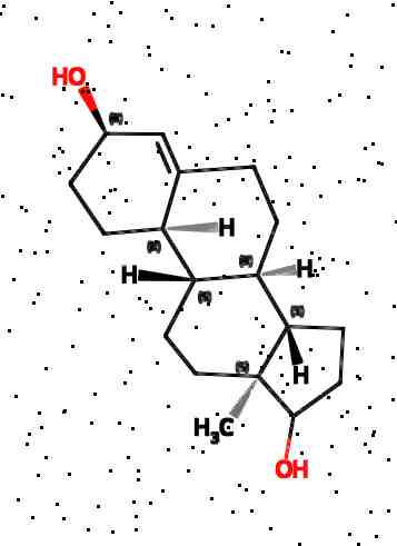 C[C@]12CC[C@H]3[C@@H](CCC4=C[C@H](O)CC[C@@H]43)[C@@H]1CCC2O